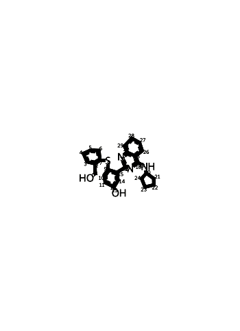 OCc1ccccc1Sc1ccc(O)cc1-c1nc(NC2CCCC2)c2ccccc2n1